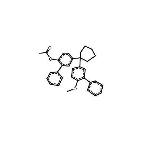 COc1ccc(C2(c3ccc(OC(C)=O)c(-c4ccccc4)c3)CCCCC2)cc1-c1ccccc1